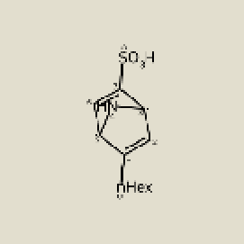 CCCCCCC1=C[C]2N[C]1C=C2S(=O)(=O)O